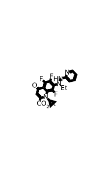 CCOC(=O)c1cc(=O)c2c(F)c(F)c(N(CC)Nc3ccccn3)c(F)c2n1C1CC1